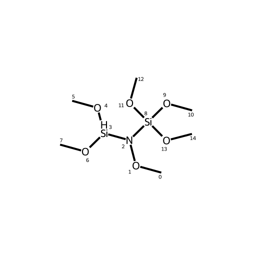 CON([SiH](OC)OC)[Si](OC)(OC)OC